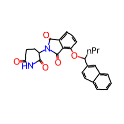 CCCC(Oc1cccc2c1C(=O)N(C1CCC(=O)NC1=O)C2=O)c1ccc2ccccc2c1